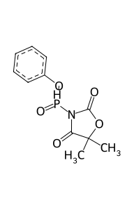 CC1(C)OC(=O)N([PH](=O)Oc2ccccc2)C1=O